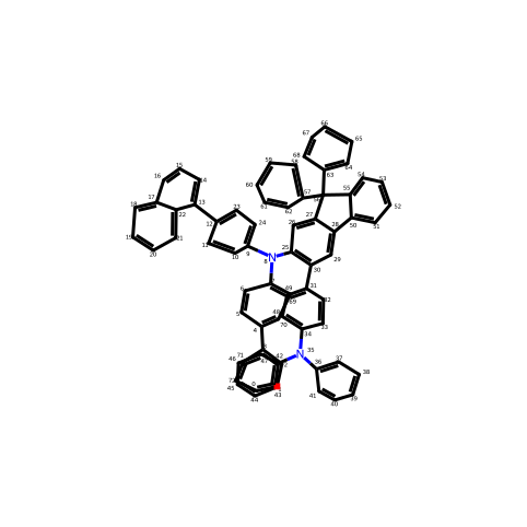 c1ccc(-c2ccc(N(c3ccc(-c4cccc5ccccc45)cc3)c3cc4c(cc3-c3ccc(N(c5ccccc5)c5ccccc5)cc3)-c3ccccc3C4(c3ccccc3)c3ccccc3)cc2)cc1